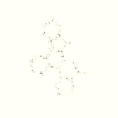 O=[N+]([O-])c1cnccc1-c1cc2[nH]c3ccccc3c2c2ccccc12